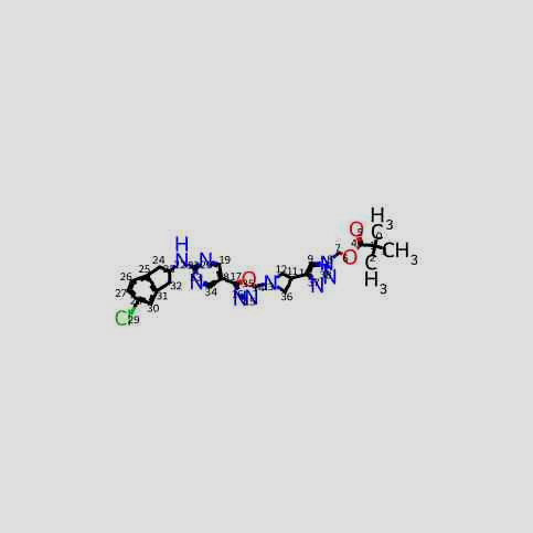 CC(C)(C)C(=O)OCn1cc(C2CN(c3nnc(-c4cnc(NC5Cc6ccc(Cl)cc6C5)nc4)o3)C2)nn1